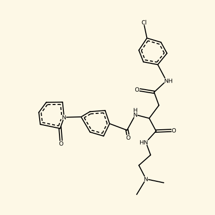 CN(C)CCNC(=O)C(CC(=O)Nc1ccc(Cl)cc1)NC(=O)c1ccc(-n2ccccc2=O)cc1